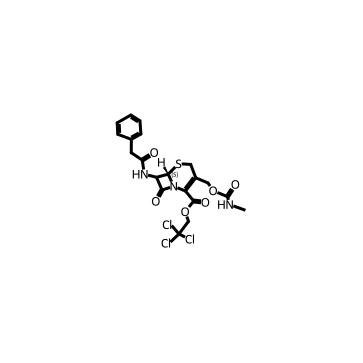 CNC(=O)OCC1=C(C(=O)OCC(Cl)(Cl)Cl)N2C(=O)C(NC(=O)Cc3ccccc3)[C@@H]2SC1